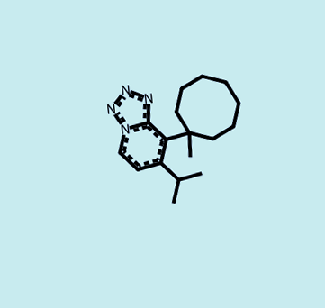 CC(C)c1ccn2nnnc2c1C1(C)CCCCCCC1